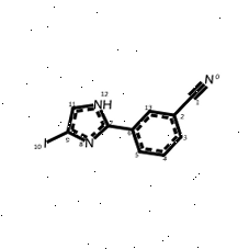 N#Cc1cccc(-c2nc(I)c[nH]2)c1